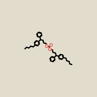 CCCCCc1ccc(C(CCCOC(=O)OCCCC(c2ccccc2)c2ccc(CCCCC)cc2)c2ccccc2)cc1